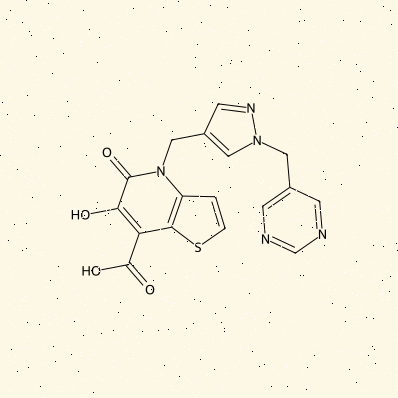 O=C(O)c1c(O)c(=O)n(Cc2cnn(Cc3cncnc3)c2)c2ccsc12